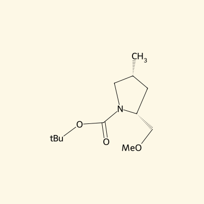 COC[C@H]1C[C@@H](C)CN1C(=O)OC(C)(C)C